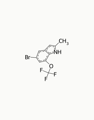 Cc1cc2cc(Br)cc(OC(F)(F)F)c2[nH]1